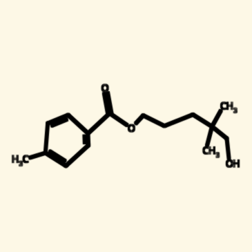 Cc1ccc(C(=O)OCCCC(C)(C)CO)cc1